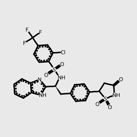 O=C1CC(c2ccc(C[C@H](NS(=O)(=O)c3ccc(C(F)(F)F)cc3Cl)c3nc4ccccc4[nH]3)cc2)S(=O)(=O)N1